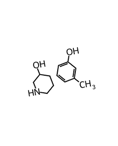 Cc1cccc(O)c1.OC1CCCNC1